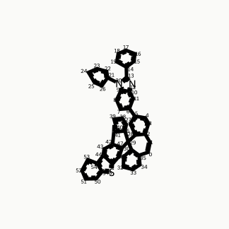 C1=Cc2ccc(-c3ccc4c(c3)nc(-c3ccccc3)n4-c3ccccc3)cc2C2(c3ccccc31)c1ccccc1-c1cc3c(cc12)sc1ccccc13